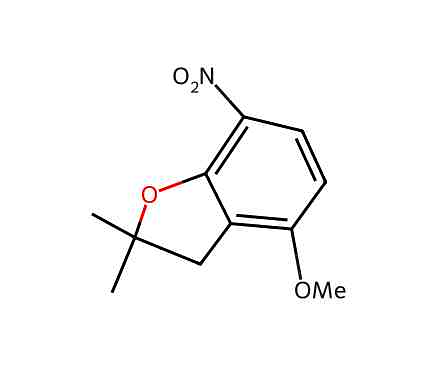 COc1ccc([N+](=O)[O-])c2c1CC(C)(C)O2